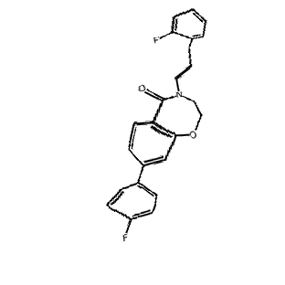 O=C1c2ccc(-c3ccc(F)cc3)cc2OCCN1CCc1ccccc1F